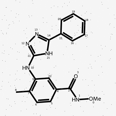 CONC(=O)c1ccc(C)c(Nc2nnc(-c3ccccc3)[nH]2)c1